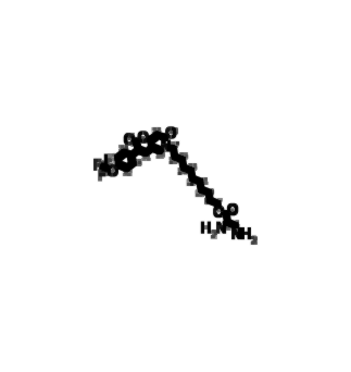 NCC(N)C(=O)OCCCCCCCCCCCn1cc2cc(-c3ccc(OC(F)(F)F)cc3)c(=O)oc2cc1=O